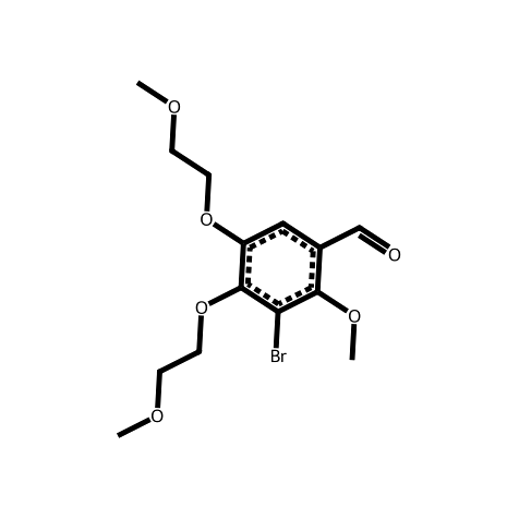 COCCOc1cc(C=O)c(OC)c(Br)c1OCCOC